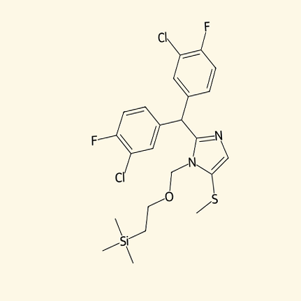 CSc1cnc(C(c2ccc(F)c(Cl)c2)c2ccc(F)c(Cl)c2)n1COCC[Si](C)(C)C